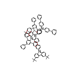 CC(C)(C)c1cc2c3c(c1)N(c1c(-c4ccccc4)cc(-c4ccccc4)cc1-c1ccccc1)c1cc(-c4ccc(-n5c6ccc(C(C)(C)C)cc6c6cc(C(C)(C)C)ccc65)cc4)ccc1B3c1ccc(N(c3ccc(-c4ccccc4)cc3)c3ccc(-c4ccccc4)cc3)cc1C2C1(c2ccccc2)C=C(c2ccccc2)C=C1c1ccccc1